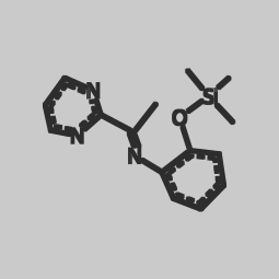 CC(=Nc1ccccc1O[Si](C)(C)C)c1ncccn1